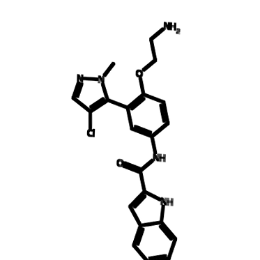 Cn1ncc(Cl)c1-c1cc(NC(=O)c2cc3ccccc3[nH]2)ccc1OCCN